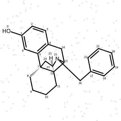 Oc1ccc2c(c1)[C@]13CCCC[C@@H]1C(C2)N(Cc1ccccc1)CC3